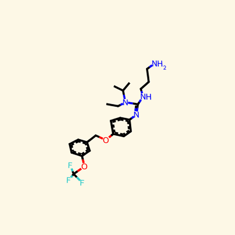 CCN(/C(=N\c1ccc(OCc2cccc(OC(F)(F)F)c2)cc1)NCCCN)C(C)C